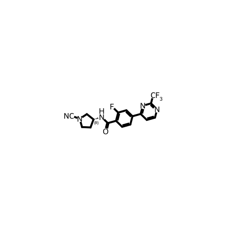 N#CN1CC[C@@H](NC(=O)c2ccc(-c3ccnc(C(F)(F)F)n3)cc2F)C1